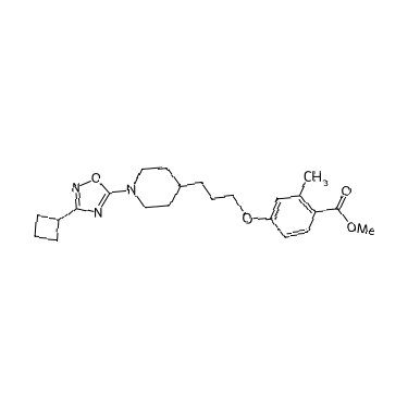 COC(=O)c1ccc(OCCCC2CCN(c3nc(C4CCC4)no3)CC2)cc1C